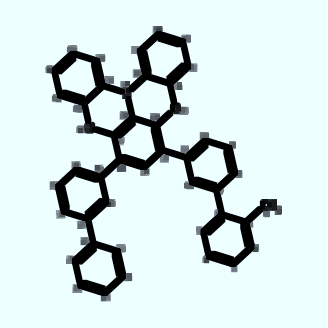 Cc1ccccc1-c1cccc(-c2cc(-c3cccc(-c4ccccc4)c3)c3c4c2Oc2ccccc2B4c2ccccc2O3)c1